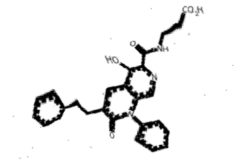 O=C(O)CCNC(=O)c1ncc2c(cc(CCc3ccccc3)c(=O)n2-c2ccccc2)c1O